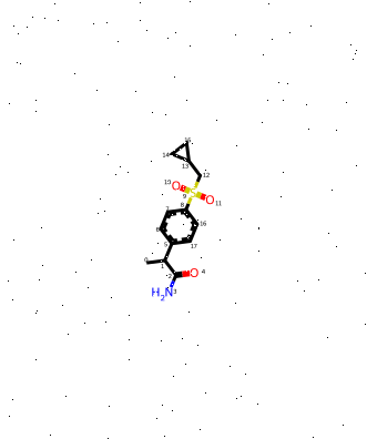 CC(C(N)=O)c1ccc(S(=O)(=O)CC2CC2)cc1